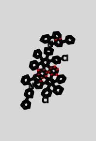 Clc1ccc(-c2c(-c3ccccc3)c(-c3ccccc3)c(-c3ccccc3-c3ccccc3-c3c(-c4ccccc4)c(-c4ccccc4)c(-c4ccc(N(c5ccc(-c6ccccc6)cc5)c5ccccc5-c5ccccc5)cc4)c(-c4ccc(Cl)cc4)c3-c3ccccc3)c(-c3ccccc3)c2-c2ccc(N(c3ccc(-c4ccccc4)cc3)c3ccccc3-c3ccccc3)cc2)cc1